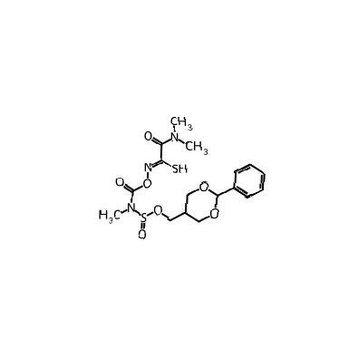 CN(C)C(=O)C(S)=NOC(=O)N(C)S(=O)OCC1COC(c2ccccc2)OC1